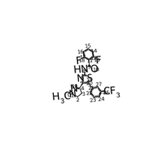 CN1CCC(c2nc(NC(=O)c3c(F)cccc3F)sc2-c2cccc(C(F)(F)F)c2)=N1